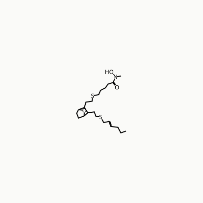 CCC/C=C/CSCCC1C2CCC(O2)C1CCSCCCCC(=O)N(C)O